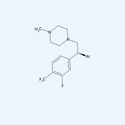 CC(=O)[C@H](CN1CCN(C)CC1)c1ccc(C(F)(F)F)c(F)c1